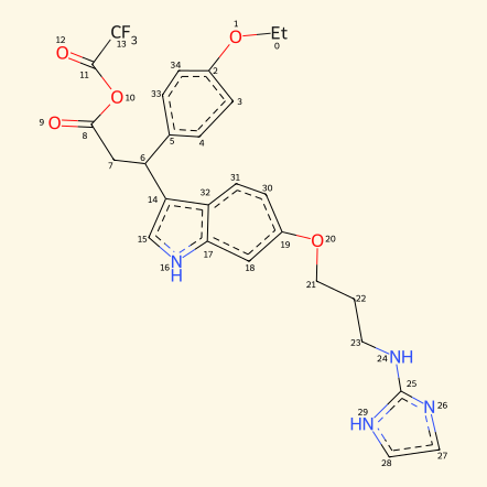 CCOc1ccc(C(CC(=O)OC(=O)C(F)(F)F)c2c[nH]c3cc(OCCCNc4ncc[nH]4)ccc23)cc1